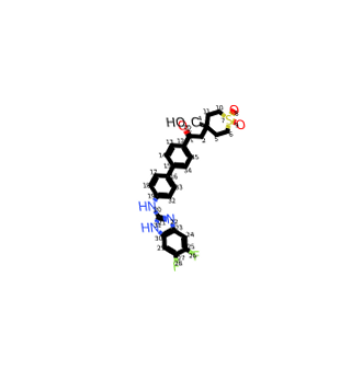 O=C(CC1(C(=O)O)CCS(=O)(=O)CC1)c1ccc(-c2ccc(Nc3nc4cc(F)c(F)cc4[nH]3)cc2)cc1